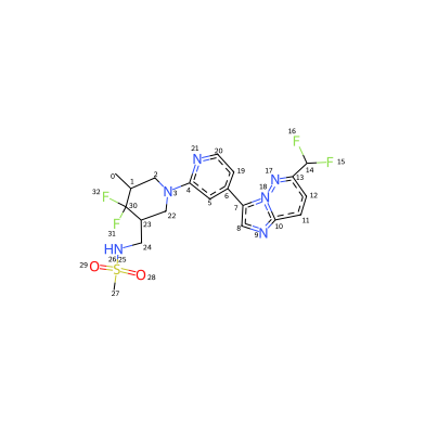 CC1CN(c2cc(-c3cnc4ccc(C(F)F)nn34)ccn2)CC(CNS(C)(=O)=O)C1(F)F